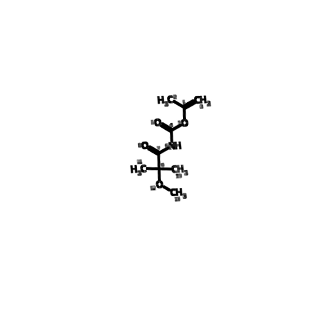 C=C(C)OC(=O)NC(=O)C(C)(C)OC